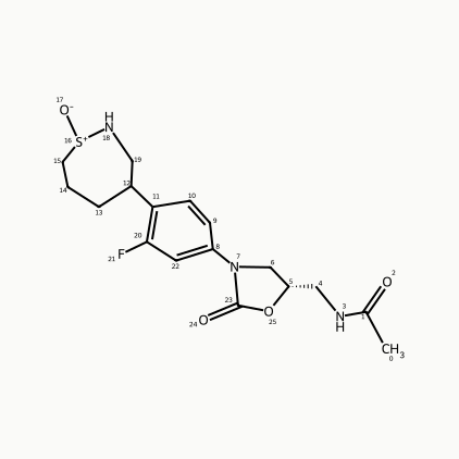 CC(=O)NC[C@H]1CN(c2ccc(C3CCC[S+]([O-])NC3)c(F)c2)C(=O)O1